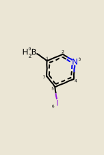 Bc1cncc(I)c1